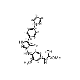 COC(O)Nc1ccc(Nc2n[nH]c(-c3ccc(-n4cccn4)cc3)c2F)c(C)c1